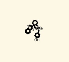 CNC(=S)C1(c2cnc3ccccc3c2)CCCC/C1=N/OCc1ccc(O)cc1.O